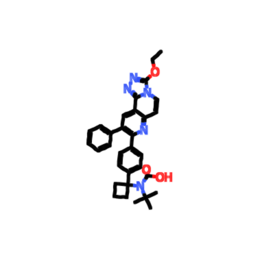 CCOc1nnc2c3cc(-c4ccccc4)c(-c4ccc(C5(N(C(=O)O)C(C)(C)C)CCC5)cc4)nc3ccn12